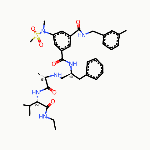 CCNC(=O)[C@@H](NC(=O)[C@H](C)NC[C@H](Cc1ccccc1)NC(=O)c1cc(C(=O)NCc2cccc(C)c2)cc(N(C)S(C)(=O)=O)c1)C(C)C